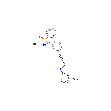 CC(C)(C)NS(=O)(=O)c1ccccc1-c1ccc(C#CCNc2cccc(C#N)c2)cc1